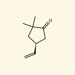 C=C[C@@H]1CC(=O)C(C)(C)C1